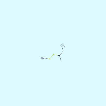 CC(CC(Cl)(Cl)Cl)SSC(C)(C)C